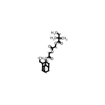 CCC1C2CC3CC(C2)CC1(OC(=O)COC(=O)COC(=O)C(C)(C)CC)C3